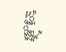 Cc1ccc(C(=O)Nc2ccc(C#N)c(C(F)(F)F)c2)cc1Nc1ncnc2cnc(N(C)CCN(C)C)nc12